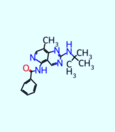 Cc1cnc(NC(=O)c2ccccc2)c2cnc(NC(C)(C)C)nc12